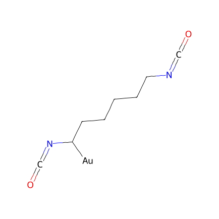 O=C=NCCCCC[CH]([Au])N=C=O